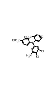 CCOC(=O)c1ccc(N(c2nc(N)c(Cl)c(Cl)n2)c2ccccc2C(=O)O)cc1.Cl